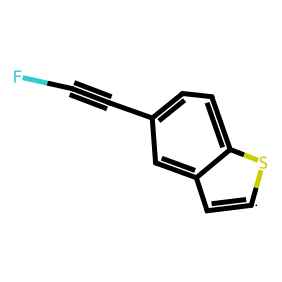 FC#Cc1ccc2s[c]cc2c1